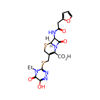 CCn1c(SCC2=C(C(=O)O)N3C(=O)C(NC(=O)Cc4ccco4)[C@@H]3SC2)nnc(O)c1=O